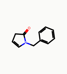 O=C1CC=CN1Cc1ccccc1